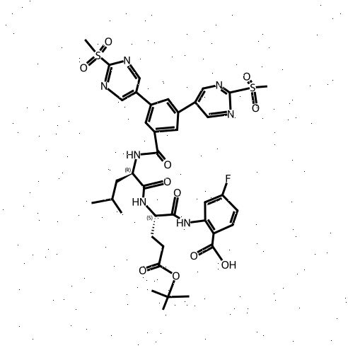 CC(C)C[C@@H](NC(=O)c1cc(-c2cnc(S(C)(=O)=O)nc2)cc(-c2cnc(S(C)(=O)=O)nc2)c1)C(=O)N[C@@H](CCC(=O)OC(C)(C)C)C(=O)Nc1cc(F)ccc1C(=O)O